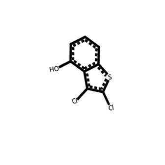 Oc1cccc2sc(Cl)c(Cl)c12